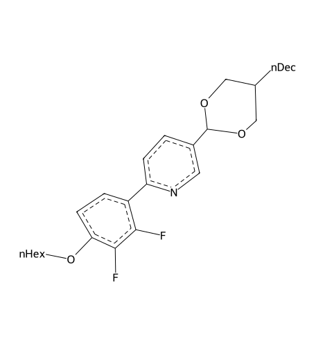 CCCCCCCCCCC1COC(c2ccc(-c3ccc(OCCCCCC)c(F)c3F)nc2)OC1